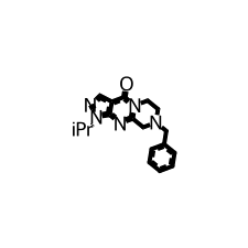 CC(C)n1ncc2c(=O)n3c(nc21)CN(Cc1ccccc1)CC3